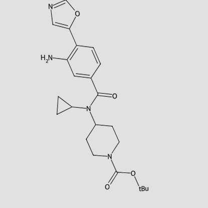 CC(C)(C)OC(=O)N1CCC(N(C(=O)c2ccc(-c3cnco3)c(N)c2)C2CC2)CC1